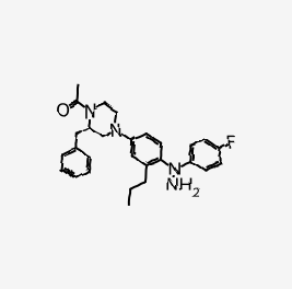 CCCc1cc(N2CCN(C(C)=O)[C@H](Cc3ccccc3)C2)ccc1N(N)c1ccc(F)cc1